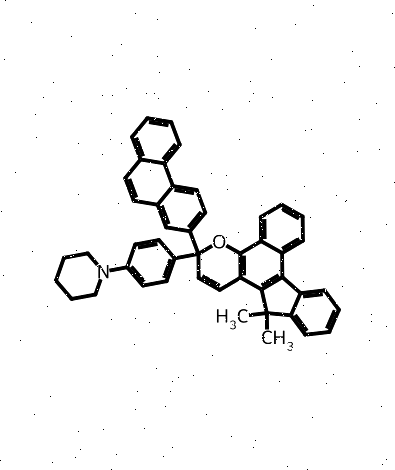 CC1(C)c2ccccc2-c2c1c1c(c3ccccc23)OC(c2ccc(N3CCCCC3)cc2)(c2ccc3c(ccc4ccccc43)c2)C=C1